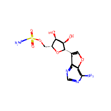 Nc1ncnc2c([C@@H]3O[C@H](COS(N)(=O)=O)[C@@H](O)[C@H]3O)coc12